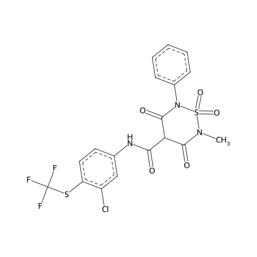 CN1C(=O)C(C(=O)Nc2ccc(SC(F)(F)F)c(Cl)c2)C(=O)N(c2ccccc2)S1(=O)=O